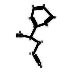 O=POC(O)c1ccccc1